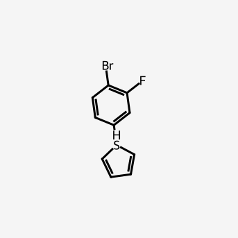 Fc1cc([SH]2C=CC=C2)ccc1Br